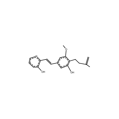 C=C(C)CCc1c(O)cc(C=Cc2ncccc2O)cc1OC